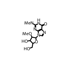 CNc1nc2c(ncn2C2OC(CO)C(O)C2OC)c(=O)[nH]1